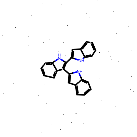 c1ccc2[nH]c(-c3[nH]c4ccccc4c3-c3cc4ccccc4[nH]3)cc2c1